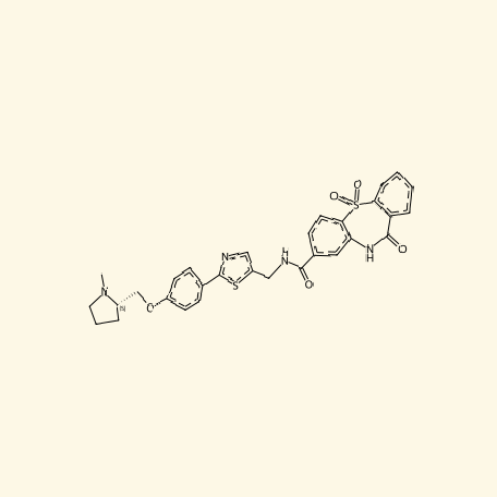 CN1CCC[C@H]1COc1ccc(-c2ncc(CNC(=O)c3ccc4c(c3)NC(=O)c3ccccc3S4(=O)=O)s2)cc1